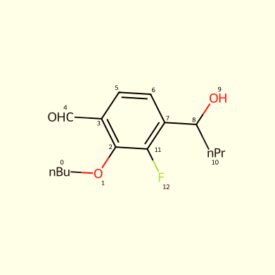 CCCCOc1c(C=O)ccc(C(O)CCC)c1F